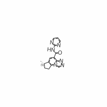 C[C@H]1CCc2c1cc(C(=O)Nc1ncccn1)c1nncn21